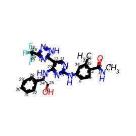 CNC(=O)c1ccc(Nc2ncc(-c3nc(C(F)(F)F)n[nH]3)c(N[C@H](CO)c3ccccc3)n2)cc1C